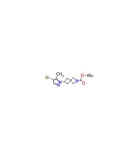 Cc1c(Br)cnn1C1CC2(C1)CN(C(=O)OC(C)(C)C)C2